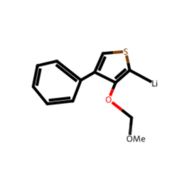 [Li][c]1scc(-c2ccccc2)c1OCOC